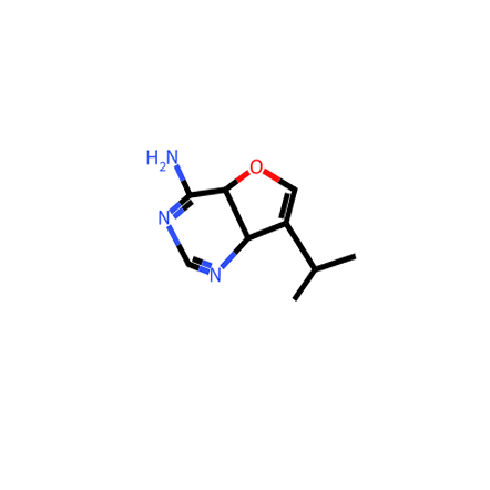 CC(C)C1=COC2C(N)=NC=NC12